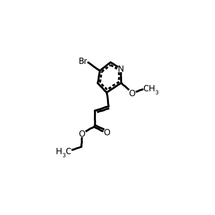 CCOC(=O)/C=C/c1cc(Br)cnc1OC